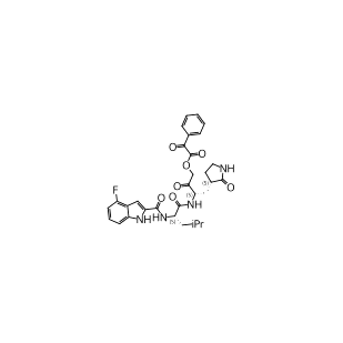 CC(C)C[C@H](NC(=O)c1cc2c(F)cccc2[nH]1)C(=O)N[C@@H](C[C@@H]1CCNC1=O)C(=O)COC(=O)C(=O)c1ccccc1